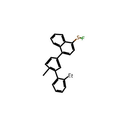 CCc1ccccc1-c1cc(-c2ccc(SF)c3ccccc23)ccc1C